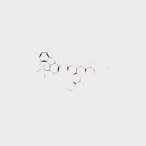 Cc1ccc(O)c2c1[C@]13CCN(C)[C@H](C)[C@]1(O)CC=C(OC(=O)C[C@H](CC(=O)[C@H](O)[C@@H](O)C(=O)O)C(=O)O[C@@H](C)C(=O)O[C@@H](C)C(=O)O)[C@@H]3O2